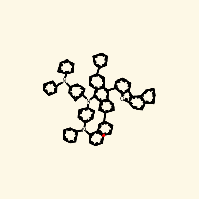 c1ccc(-c2ccc3c(N(c4ccc(N(c5ccccc5)c5ccccc5)cc4)c4ccc(N(c5ccccc5)c5ccccc5)cc4)c4cc(-c5ccccc5)ccc4c(-c4cccc5c4oc4ccc6ccccc6c45)c3c2)cc1